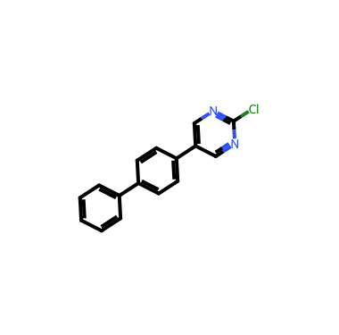 Clc1ncc(-c2ccc(-c3ccccc3)cc2)cn1